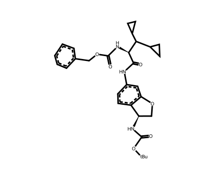 CC(C)(C)OC(=O)N[C@@H]1COc2cc(NC(=O)[C@@H](NC(=O)OCc3ccccc3)C(C3CC3)C3CC3)ccc21